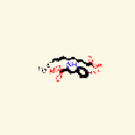 CCCCCCCCCC(=O)O.NC(Cc1ccc(O)cc1)C(=O)O